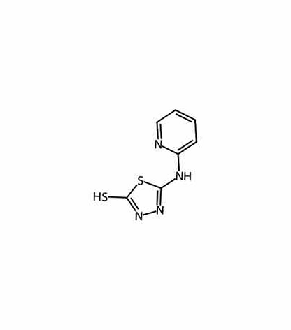 Sc1nnc(Nc2ccccn2)s1